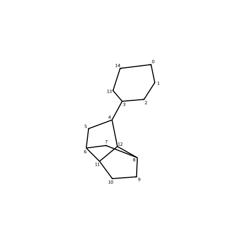 C1CCC(C2CC3CC4CCC3C42)CC1